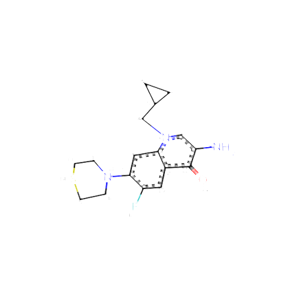 Nc1cn(CC2CC2)c2cc(N3CCSCC3)c(F)cc2c1=O